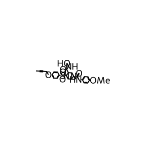 CC#CCOc1ccc(S(=O)(=O)N2CCN(C(=O)Nc3ccc(OC)cc3)CC2C(=O)NO)cc1